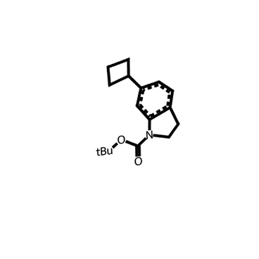 CC(C)(C)OC(=O)N1CCc2ccc(C3CCC3)cc21